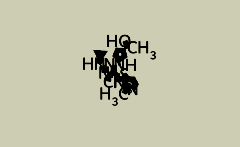 Cc1nc(NC2CC2)nc(N[C@H]2CC[C@@H](C(C)O)C2)c1-c1nc2c(C)nccc2s1